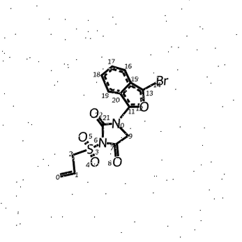 C=CCS(=O)(=O)N1C(=O)CN(c2oc(Br)c3ccccc23)C1=O